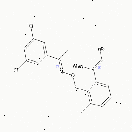 CCC/C=C(\NC)c1cccc(C)c1CO/N=C(\C)c1cc(Cl)cc(Cl)c1